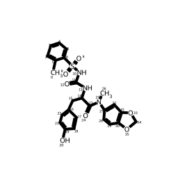 Cc1ccccc1S(=O)(=O)NC(=O)NC(Cc1ccc(O)cc1)C(=O)N(C)c1ccc2c(c1)OCO2